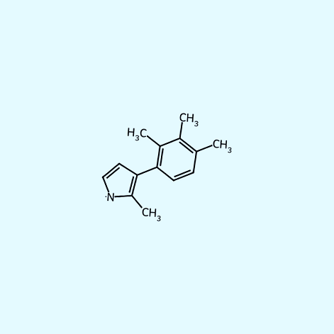 CC1=C(c2ccc(C)c(C)c2C)C=C[N]1